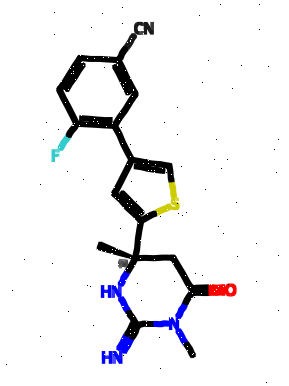 CN1C(=N)N[C@](C)(c2cc(-c3cc(C#N)ccc3F)cs2)CC1=O